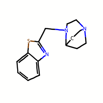 c1ccc2sc(CN3CCN4CCC3CC4)nc2c1